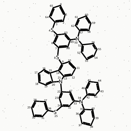 c1ccc(Sc2cc(Sc3cccc4c3c3ccccc3n4-c3cc(Sc4ccccc4)cc(N(c4ccccc4)c4ccccc4)c3)cc(N(c3ccccc3)c3ccccc3)c2)cc1